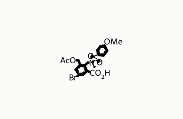 COc1ccc(S(=O)(=O)N(C)Cc2c(COC(C)=O)cc(Br)cc2C(=O)O)cc1